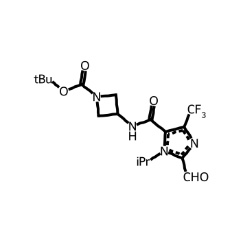 CC(C)n1c(C=O)nc(C(F)(F)F)c1C(=O)NC1CN(C(=O)OC(C)(C)C)C1